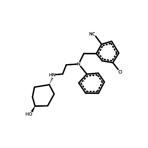 N#Cc1ccc(Cl)cc1CN(CCN[C@H]1CC[C@H](O)CC1)c1ccccc1